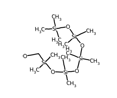 C[Si](C)(C)O[Si](C)(C)O[Si](C)(C)O[Si](C)(C)O[Si](C)(C)C[O]